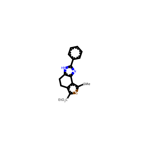 CCOC(=O)c1sc(SC)c2c1CCc1[nH]c(-c3ccccc3)nc1-2